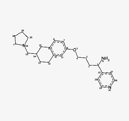 NC(CCCOc1ccc2c(c1)CCC(CN1CCCC1)C2)c1ccncc1